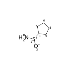 N[S+]([O-])C1CCCC1